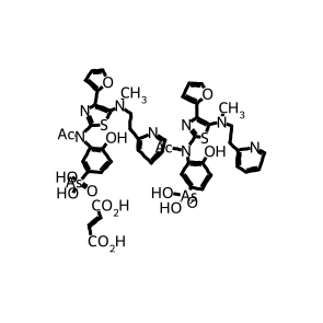 CC(=O)N(c1nc(-c2ccco2)c(N(C)CCc2ccccn2)s1)c1cc([As](=O)(O)O)ccc1O.CC(=O)N(c1nc(-c2ccco2)c(N(C)CCc2ccccn2)s1)c1cc([As](=O)(O)O)ccc1O.O=C(O)/C=C/C(=O)O